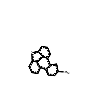 COc1ccc2c(c1)c1cccc3oc4cccc2c4c31